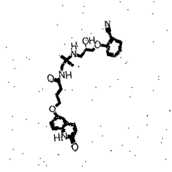 CC(C)(CNC(=O)CCCOc1ccc2[nH]c(=O)ccc2c1)NC[C@H](O)COc1ccccc1C#N